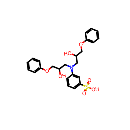 O=S(=O)(O)c1cccc(N(CC(O)COc2ccccc2)CC(O)COc2ccccc2)c1